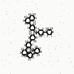 c1ccc(-c2ccc(N(c3ccc(-c4ccc(-c5ccccc5)c(-n5c6ccccc6c6ccccc65)c4)cc3)c3ccc(-c4cccc5ccccc45)cc3)cc2)cc1